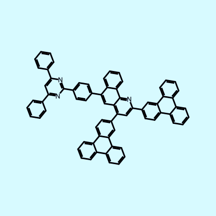 c1ccc(-c2cc(-c3ccccc3)nc(-c3ccc(-c4cc5c(-c6ccc7c8ccccc8c8ccccc8c7c6)cc(-c6ccc7c8ccccc8c8ccccc8c7c6)nc5c5ccccc45)cc3)n2)cc1